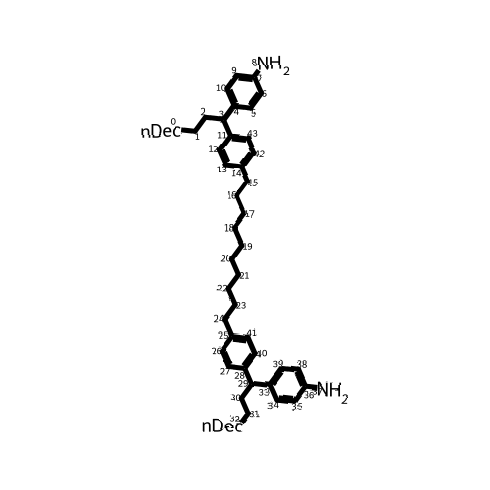 CCCCCCCCCCCCC(c1ccc(N)cc1)c1ccc(CCCCCCCCCCc2ccc(C(CCCCCCCCCCCC)c3ccc(N)cc3)cc2)cc1